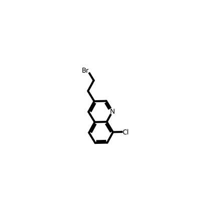 Clc1cccc2cc(CCBr)cnc12